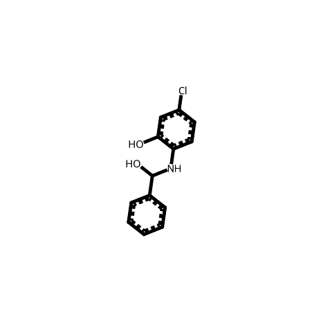 Oc1cc(Cl)ccc1NC(O)c1ccccc1